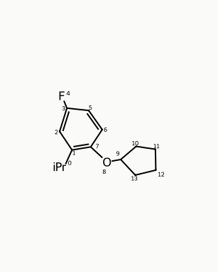 CC(C)c1cc(F)ccc1OC1CCCC1